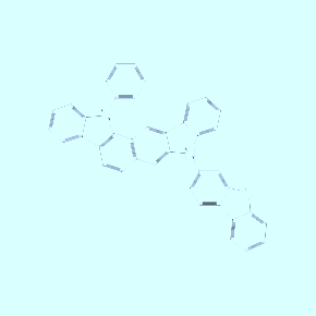 c1ccc(-n2c3ccccc3c3ccc4cc5c(cc4c32)c2ccccc2n5-c2ccc3c(c2)sc2ccccc23)cc1